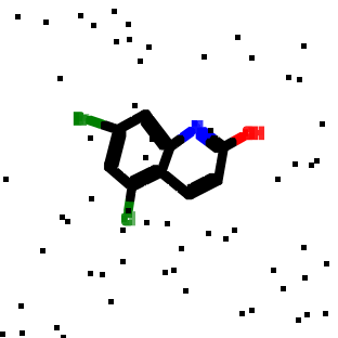 Oc1ccc2c(Cl)cc(Br)cc2n1